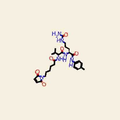 Cc1ccc(NC(=O)[C@H](CCCNC(N)=O)NC(=O)[C@@H](NC(=O)CCCCCN2C(=O)C=CC2=O)C(C)C)cc1